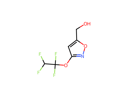 OCc1cc(OC(F)(F)C(F)F)no1